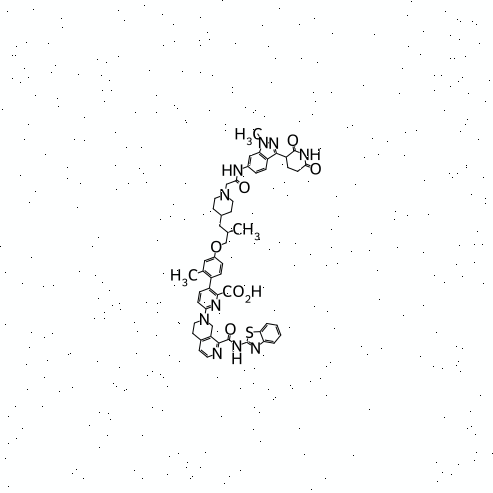 Cc1cc(OC[C@H](C)CC2CCN(CC(=O)Nc3ccc4c(C5CCC(=O)NC5=O)nn(C)c4c3)CC2)ccc1-c1ccc(N2CCc3ccnc(C(=O)Nc4nc5ccccc5s4)c3C2)nc1C(=O)O